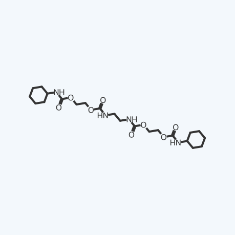 O=C(NCCNC(=O)OCCOC(=O)NC1CCCCC1)OCCOC(=O)NC1CCCCC1